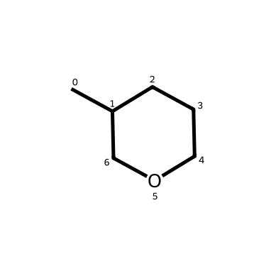 CC1CCCOC1